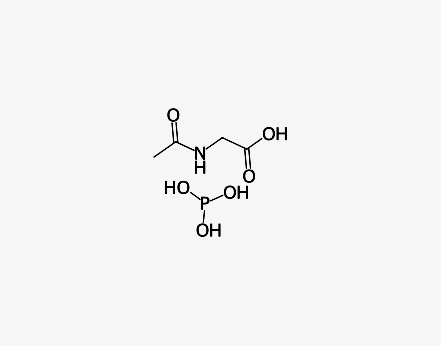 CC(=O)NCC(=O)O.OP(O)O